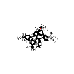 CC(C)(C)c1ccc2c(c1)c1cc(C(C)(C)C)ccc1n2-c1ccc(C#N)cc1-c1ccc(C(F)(F)F)cc1-n1c2ccc(C(C)(C)C)cc2c2cc(C(C)(C)C)ccc21